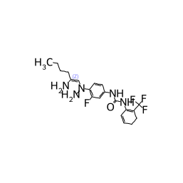 CCCC/C(N)=C/N(N)c1ccc(NC(=O)NC2=C(C(F)(F)F)CCC=C2)cc1F